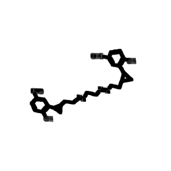 O=Cc1ccc(O)c(C2CC2CCN=NCCN=NCCC2CC2c2cc(C=O)ccc2O)c1